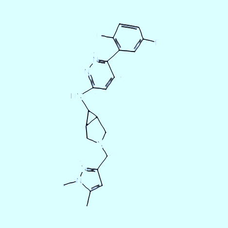 Cc1cc(CN2CC3C(C2)C3Nc2ccc(-c3cc(F)ccc3F)nn2)nn1C